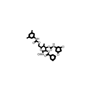 COC1OC(COC(=O)Nc2cc(C)cc(C)c2)C(C)C(OC(=O)Nc2cc(Cl)cc(Cl)c2)C1OC(=O)c1ccccc1